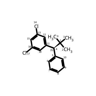 CC(C)(C)[C@@H](c1ccccc1)c1cc(Cl)cc(Cl)c1